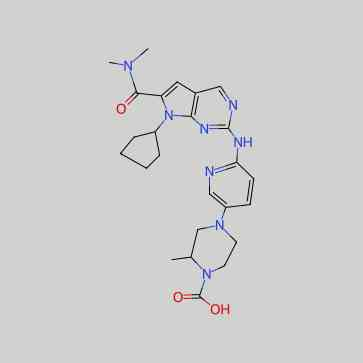 CC1CN(c2ccc(Nc3ncc4cc(C(=O)N(C)C)n(C5CCCC5)c4n3)nc2)CCN1C(=O)O